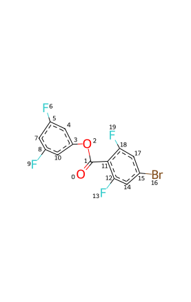 O=C(Oc1cc(F)cc(F)c1)c1c(F)cc(Br)cc1F